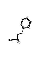 O=C(O)CSc1[c]cccc1